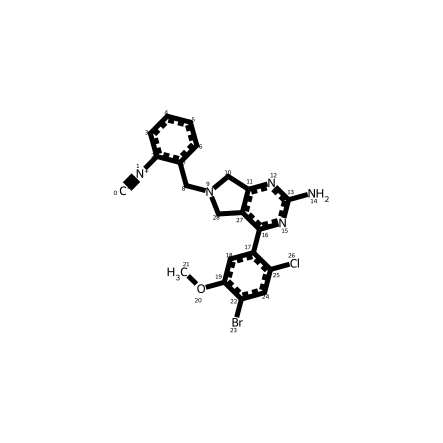 [C-]#[N+]c1ccccc1CN1Cc2nc(N)nc(-c3cc(OC)c(Br)cc3Cl)c2C1